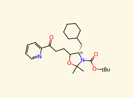 CC(C)(C)OC(=O)N1[C@@H](CC2CCCCC2)C(CCC(=O)c2ccccn2)OC1(C)C